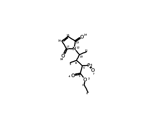 CCOC(=O)C(P=O)C(C)C(C)N1C(=O)C=CC1=O